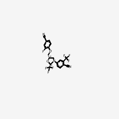 N#Cc1ccc(OC[C@@H]2CN(c3ccc(C#N)c(C(F)(F)F)c3)[C@@H](C(F)(F)F)O2)c(F)c1